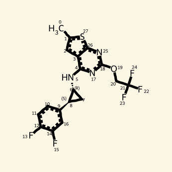 Cc1cc2c(N[C@@H]3C[C@H]3c3ccc(F)c(F)c3)nc(OCC(F)(F)F)nc2s1